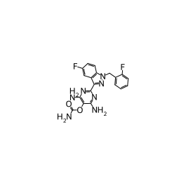 NC(=O)Oc1c(N)nc(-c2nn(Cc3ccccc3F)c3ccc(F)cc23)nc1N